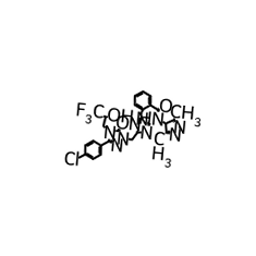 CC1=NN=C(C)C1NC(=O)c1ccccc1-n1cnc(Cn2nc(-c3ccc(Cl)cc3)n(CC(O)C(F)(F)F)c2=O)n1